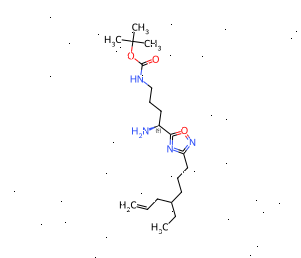 C=CCC(CC)CCCc1noc([C@@H](N)CCCNC(=O)OC(C)(C)C)n1